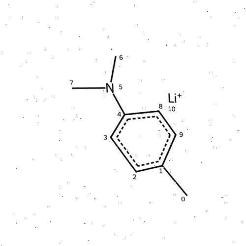 Cc1ccc(N(C)C)cc1.[Li+]